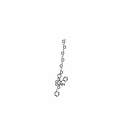 COCCOCCOCCOCCOCCO[C@H]1CCN(C(=O)[C@@H](NC(=O)OCc2ccccc2)c2ccccc2)C1